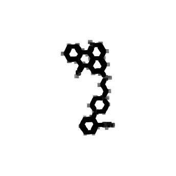 COc1ccccc1N1CCN(CCOc2cc3c4c(nccc4c2)-c2ccccc2C3=O)CC1